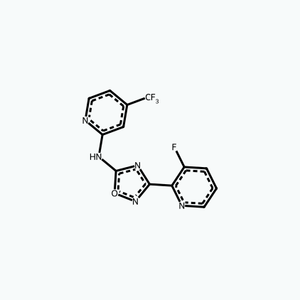 Fc1cccnc1-c1noc(Nc2cc(C(F)(F)F)ccn2)n1